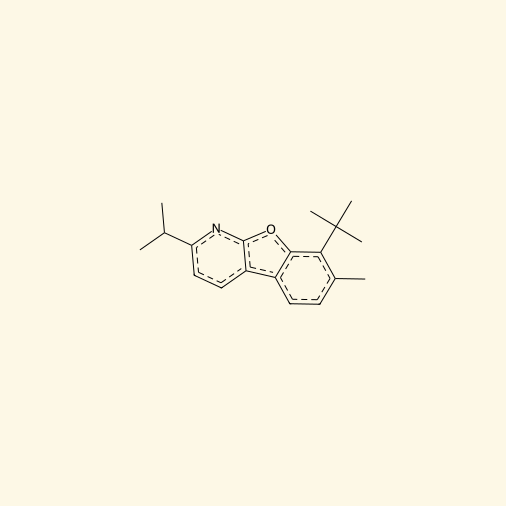 Cc1ccc2c(oc3nc(C(C)C)ccc32)c1C(C)(C)C